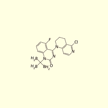 BC(B)(B)n1c(=O)nc(N2CCCc3c2ccnc3Cl)c2c(F)cccc21